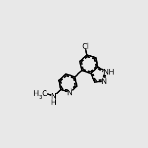 CNc1ccc(-c2cc(Cl)cc3[nH]ncc23)cn1